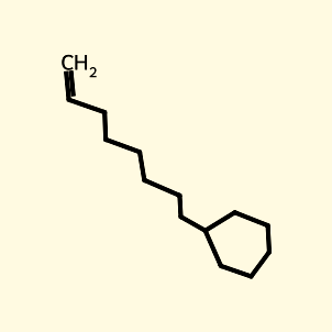 C=CCCCCCCC1CCCCC1